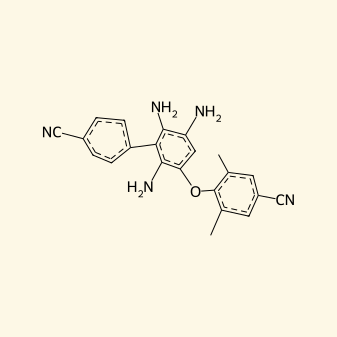 Cc1cc(C#N)cc(C)c1Oc1cc(N)c(N)c(-c2ccc(C#N)cc2)c1N